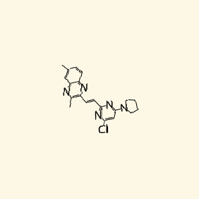 Cc1ccc2nc(/C=C/c3nc(Cl)cc(N4CCCC4)n3)c(C)nc2c1